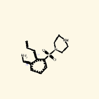 C=C/C=c1/c(S(=O)(=O)N2CCNCC2)ccc/c1=C/N